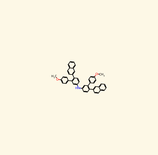 COc1ccc(-c2cc(Nc3ccc(-c4ccc5ccccc5c4)c(-c4ccc(OC)cc4)c3)ccc2-c2ccc3ccccc3c2)cc1